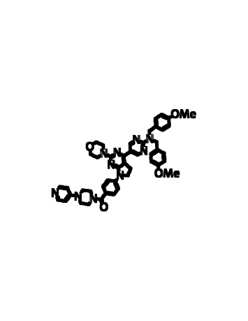 COc1ccc(CN(Cc2ccc(OC)cc2)c2ncc(-c3nc(N4CCOCC4)nc4c3CCN4c3ccc(C(=O)N4CCN(c5ccncc5)CC4)cc3)cn2)cc1